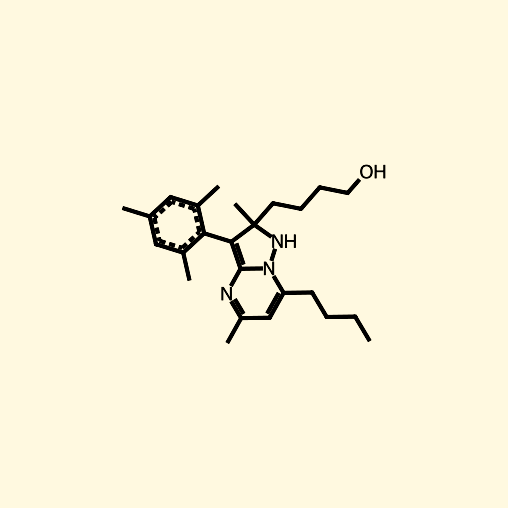 CCCCC1=CC(C)=NC2=C(c3c(C)cc(C)cc3C)C(C)(CCCCO)NN12